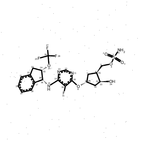 NS(=O)(=O)OC[C@@H]1C[C@@H](Oc2ncnc(N[C@@H]3c4ccccc4C[C@@H]3OC(F)(F)F)c2F)C[C@@H]1O